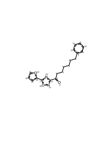 O=C(CCCCCCc1ccccc1)c1noc(-c2ccco2)n1